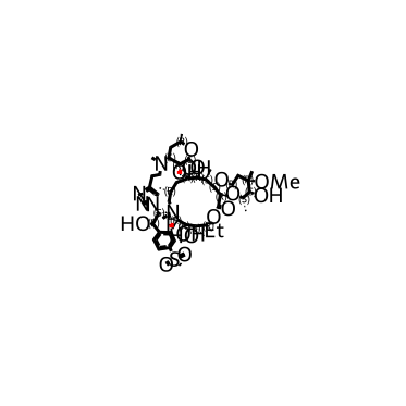 CC[C@H]1OC(=O)[C@H](C)[C@@H](O[C@H]2C[C@@](C)(OC)[C@@H](O)[C@H](C)O2)[C@H](C)[C@@H](O[C@@H]2O[C@H](C)C[C@H](N(C)CCc3cn([C@H](CF)[C@H](O)c4ccc(S(C)(=O)=O)cc4)nn3)[C@H]2O)[C@](C)(O)C[C@@H](C)CN(C)[C@H](C)[C@@H](O)[C@]1(C)O